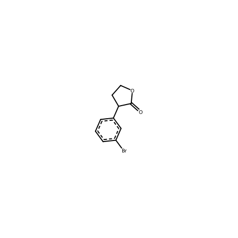 O=C1OCCC1c1cccc(Br)c1